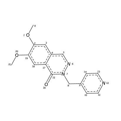 COc1cc2cnn(Cc3ccncc3)c(=O)c2cc1OC